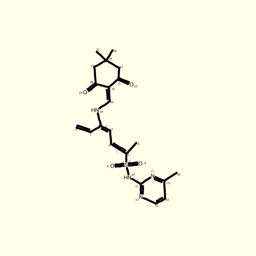 C=C/C(=C\C=C(/C)S(=O)(=O)Nc1nccc(C)n1)NC=C1C(=O)CC(C)(C)CC1=O